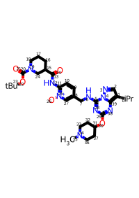 CC(C)c1cnn2c(NCc3ccc(NC(=O)C4CCCN(C(=O)OC(C)(C)C)C4)[n+]([O-])c3)nc(OC3CCN(C)CC3)nc12